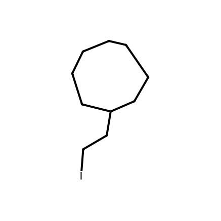 ICCC1CCCCCCC1